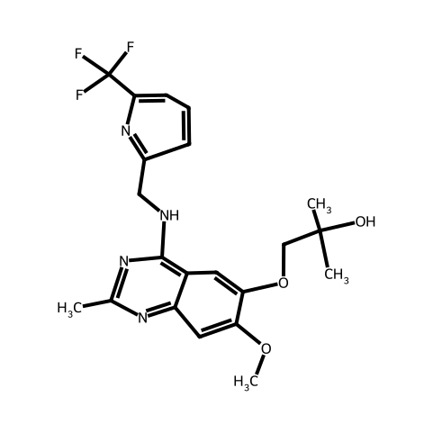 COc1cc2nc(C)nc(NCc3cccc(C(F)(F)F)n3)c2cc1OCC(C)(C)O